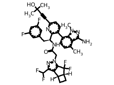 Cc1ccc(-c2ccc(C#CC(C)(C)O)nc2[C@H](Cc2cc(F)cc(F)c2)NC(=O)Cn2nc(C(F)F)c3c2C(F)(F)[C@@H]2CC[C@H]32)c2c1c(N)nn2C